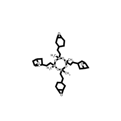 C[Si]1(CCC2CC3CC(C2)O3)O[Si](C)(CCC2CCC3OC3C2)O[Si](C)(CCC2CC3CC(C2)O3)O[Si](C)(CCC2CCC3OC3C2)O1